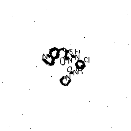 O=C1N=C(Nc2cc(NC(=O)N3CCCCC3)ccc2Cl)SC1=Cc1ccc2ncccc2c1